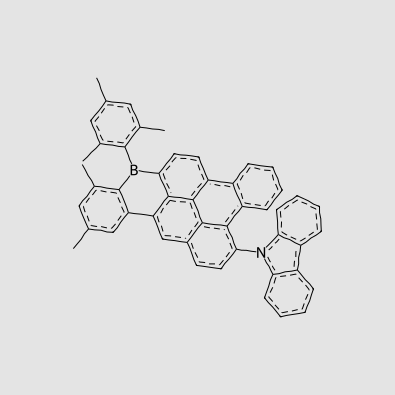 Cc1cc(C)c(B2c3c(C)cc(C)cc3-c3cc4ccc(-n5c6ccccc6c6ccccc65)c5c6ccccc6c6ccc2c3c6c45)c(C)c1